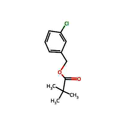 CC(C)(C)C(=O)OCc1cccc(Cl)c1